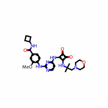 COc1cc(C(=O)NC2CCC2)ccc1Nc1nccc(Nc2c(NC(C)(C)CN3CCOCC3)c(=O)c2=O)n1